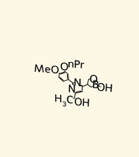 CCCOc1cc(-c2nc(C(C)O)cc(C3COB(O)C3)n2)ccc1OC